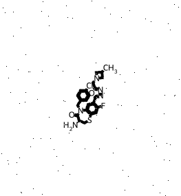 CC1CN(Cc2nnc(-c3cc4c(cc3F)SC[C@H](N)C(=O)N4Cc3ccc(Cl)cc3)o2)C1